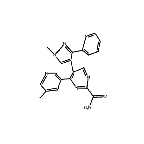 Cc1cncc(-c2nc(C(N)=O)ncc2-c2cn(C)nc2-c2ccccn2)c1